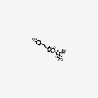 C[C@@](CCN1Cc2cc(C=Cc3ccc(CO)cc3)cn2C1=O)(C(=O)NO)S(C)(=O)=O